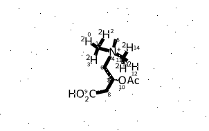 [2H]C([2H])([2H])[N+](C)(C[C@@H](CC(=O)O)OC(C)=O)C([2H])([2H])[2H]